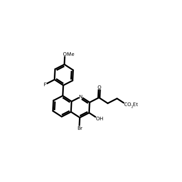 CCOC(=O)CCC(=O)c1nc2c(-c3ccc(OC)cc3F)cccc2c(Br)c1O